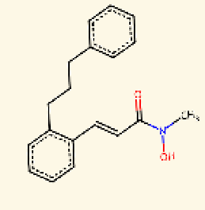 CN(O)C(=O)C=Cc1ccccc1CCCc1ccccc1